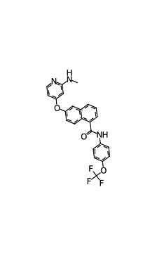 CNc1cc(Oc2ccc3c(C(=O)Nc4ccc(OC(F)(F)F)cc4)cccc3c2)ccn1